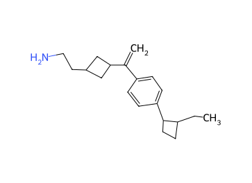 C=C(c1ccc(C2CCC2CC)cc1)C1CC(CCN)C1